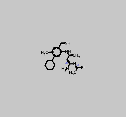 C=C(/C=C(N)\N=C(/C)CC)Nc1cc(C2CCCCC2)c(C)cc1C=N